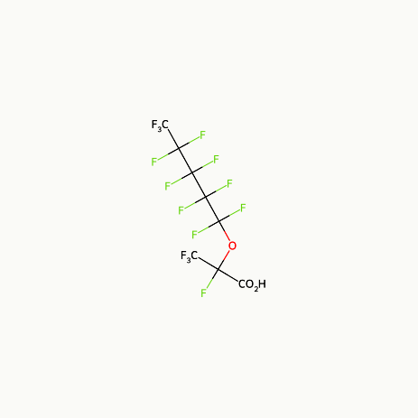 O=C(O)C(F)(OC(F)(F)C(F)(F)C(F)(F)C(F)(F)C(F)(F)F)C(F)(F)F